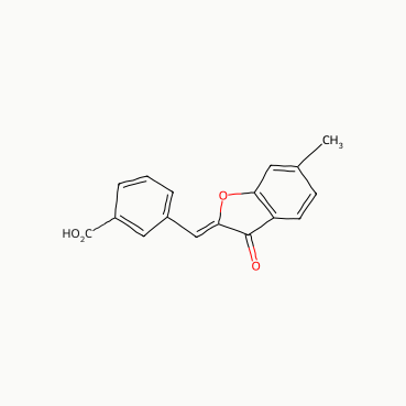 Cc1ccc2c(c1)O/C(=C\c1cccc(C(=O)O)c1)C2=O